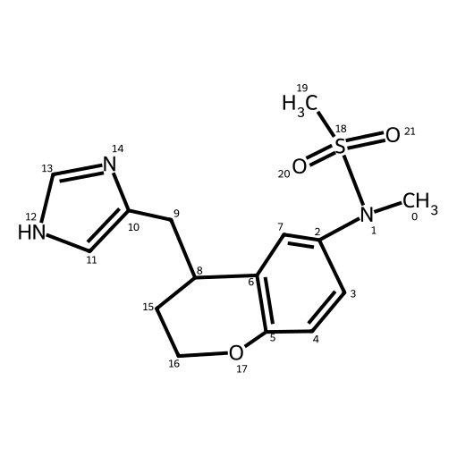 CN(c1ccc2c(c1)C(Cc1c[nH]cn1)CCO2)S(C)(=O)=O